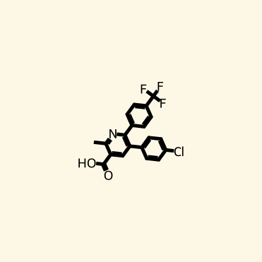 Cc1nc(-c2ccc(C(F)(F)F)cc2)c(-c2ccc(Cl)cc2)cc1C(=O)O